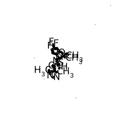 CCC1(CC)Oc2cc(C(F)(F)F)ccc2-c2nc(NC(=O)c3c(C)ncnc3C)sc21